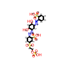 O=S(=O)(O)OCCS(=O)(=O)c1ccc(/N=N/c2cc(/N=N/c3ccccc3S(=O)(=O)O)c(O)cc2O)c(S(=O)(=O)O)c1